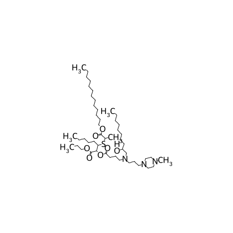 CCCCCCCCCCCCCOC(=O)C(C)SC(CCCCC)C(OC(=O)CCCN(CCCN1CCN(C)CC1)CC(O)CCCCCCCC)C(=O)OCCC